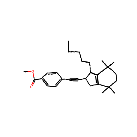 CCCCCC1C2=C(CC1C#Cc1ccc(C(=O)OC)cc1)C(C)(C)CCC2(C)C